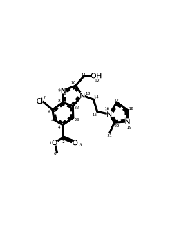 COC(=O)c1cc(Cl)c2nc(CO)n(CCn3ccnc3C)c2c1